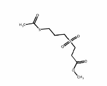 COC(=O)CCS(=O)(=O)CCCSC(C)=O